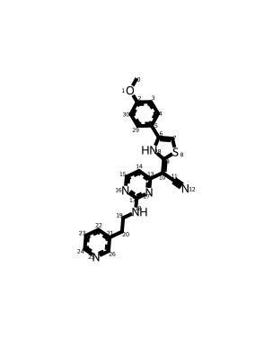 COc1ccc(C2=CSC(=C(C#N)c3ccnc(NCCc4cccnc4)n3)N2)cc1